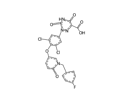 O=C(O)c1nn(-c2cc(Cl)c(Oc3ccc(=O)n(Cc4ccc(F)cc4)c3)c(Cl)c2)c(=O)[nH]c1=O